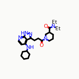 CCN(CC)C(=O)C1CCCN(C(=O)CCc2n[nH]c3nccc(NC4CCCCC4)c23)C1